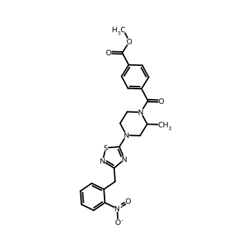 COC(=O)c1ccc(C(=O)N2CCN(c3nc(Cc4ccccc4[N+](=O)[O-])ns3)CC2C)cc1